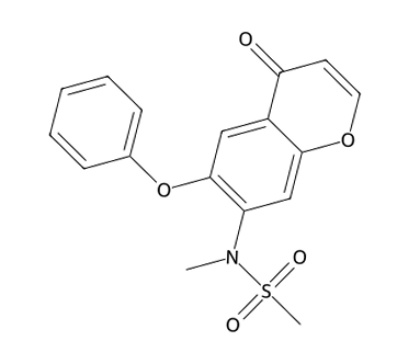 CN(c1cc2occc(=O)c2cc1Oc1ccccc1)S(C)(=O)=O